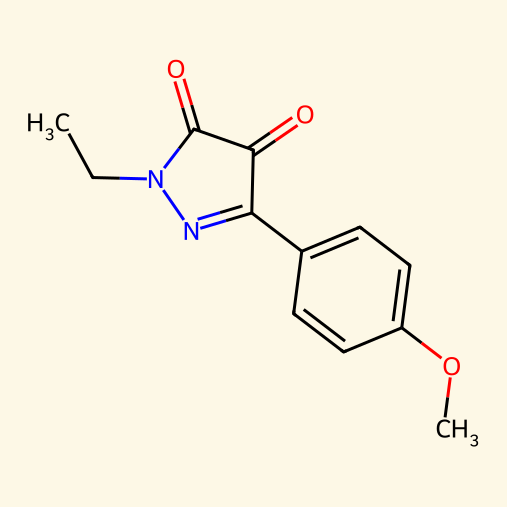 CCN1N=C(c2ccc(OC)cc2)C(=O)C1=O